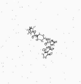 O=C(NC1CCN(C(=O)OC2CN3CCC2CC3)CC1)c1n[nH]cc1NC(=O)c1c(Cl)cccc1Cl